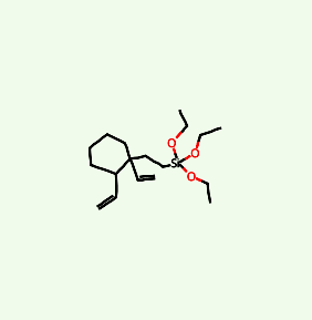 C=CC1CCCCC1(C=C)CC[Si](OCC)(OCC)OCC